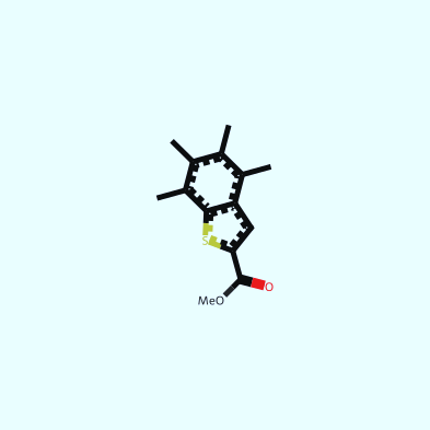 COC(=O)c1cc2c(C)c(C)c(C)c(C)c2s1